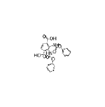 O=C(Nc1c(C(=O)O)ccc(C(=O)O)c1NC(=O)Oc1ccccc1)Oc1ccccc1